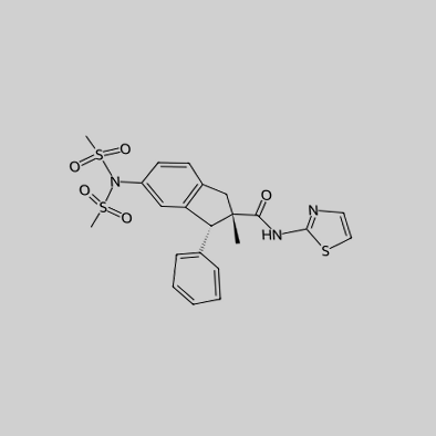 C[C@]1(C(=O)Nc2nccs2)Cc2ccc(N(S(C)(=O)=O)S(C)(=O)=O)cc2[C@H]1c1ccccc1